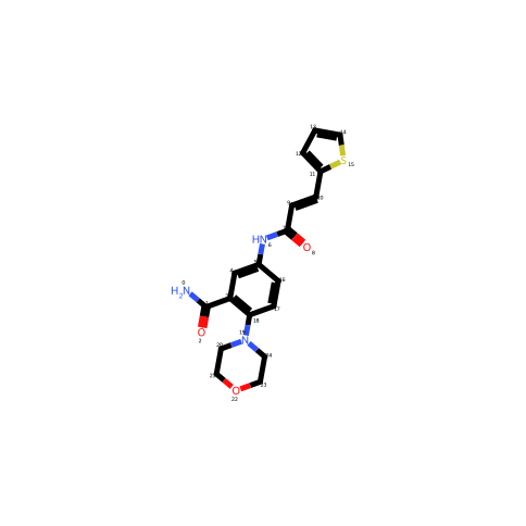 NC(=O)c1cc(NC(=O)C=Cc2cccs2)ccc1N1CCOCC1